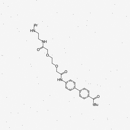 CC(C)NCCNC(=O)COCCOCC(=O)Nc1ccc(-c2ccc(C(=O)C(C)(C)C)cc2)cc1